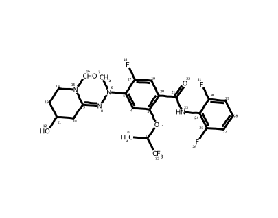 CC(Oc1cc(N(C)/N=C2/CC(O)CCN2C=O)c(F)cc1C(=O)Nc1c(F)cccc1F)C(F)(F)F